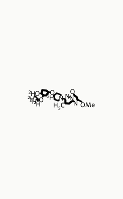 [2H]C1(Oc2ccc3c(c2)OC([2H])([2H])C([2H])([2H])O3)CCN(c2nn3c(=O)cc(COC)nc3cc2C)CC1